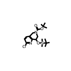 CC(C)(C)OC(=O)N1Cc2ccc(Cl)nc2C(O[Si](C)(C)C(C)(C)C)C1